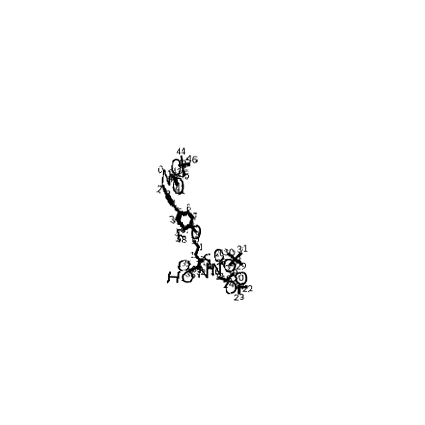 CN(CC#Cc1ccc(OCCCc2sc(N(CC3COC(C)(C)O3)C(=O)OC(C)(C)C)nc2C(=O)O)c(F)c1)C(=O)OC(C)(C)C